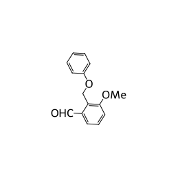 COc1cccc(C=O)c1COc1ccccc1